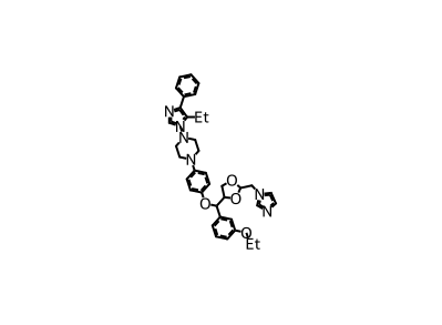 CCOc1cccc(C(Oc2ccc(N3CCN(n4cnc(-c5ccccc5)c4CC)CC3)cc2)C2COC(Cn3ccnc3)O2)c1